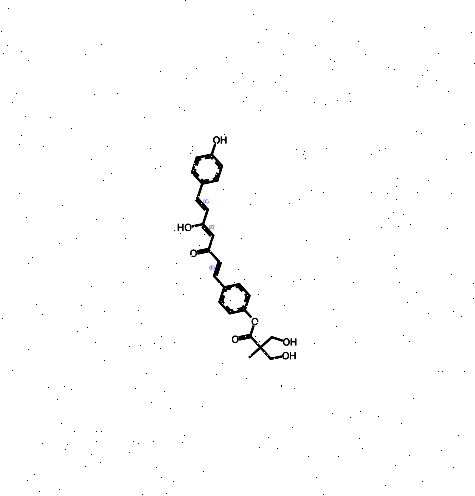 CC(CO)(CO)C(=O)Oc1ccc(/C=C/C(=O)/C=C(O)/C=C/c2ccc(O)cc2)cc1